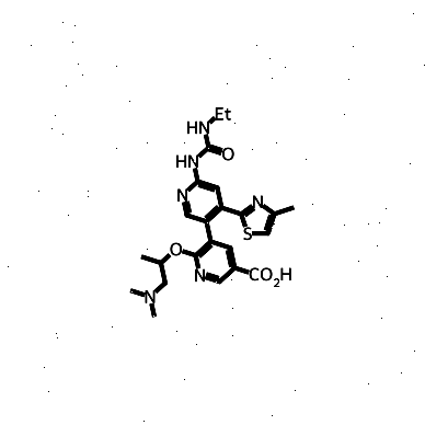 CCNC(=O)Nc1cc(-c2nc(C)cs2)c(-c2cc(C(=O)O)cnc2OC(C)CN(C)C)cn1